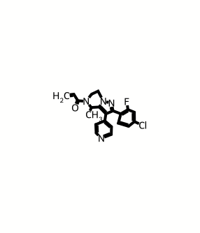 C=CC(=O)N1CCn2nc(-c3ccc(Cl)cc3F)c(-c3ccncc3)c2C1C